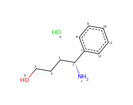 Cl.N[C@H](CCCO)c1ccccc1